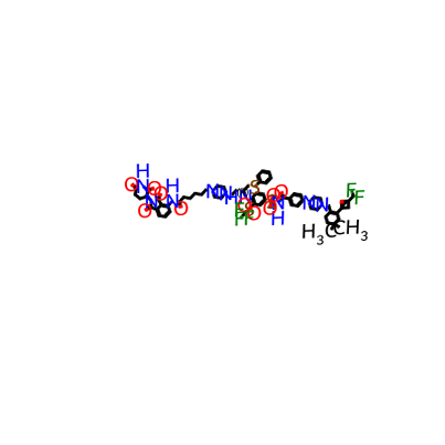 CC1(C)CCC(CN2CCN(c3ccc(C(=O)NS(=O)(=O)c4ccc(N[C@H](CCN5CCN(CCCCCC(=O)Nc6cccc7c6C(=O)N(C6CCC(=O)NC6=O)C7=O)CC5)CSc5ccccc5)c(S(=O)(=O)C(F)(F)F)c4)cc3)CC2)=C(C23CC(C(F)F)(C2)C3)C1